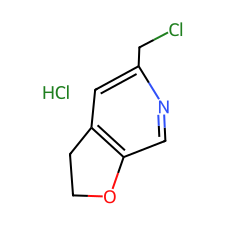 Cl.ClCc1cc2c(cn1)OCC2